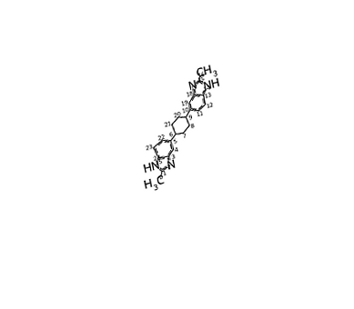 Cc1nc2cc(C3CCC(c4ccc5[nH]c(C)nc5c4)CC3)ccc2[nH]1